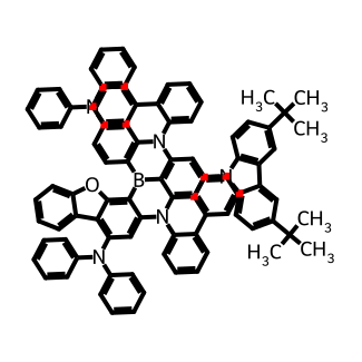 CC(C)(C)c1ccc2c(c1)c1cc(C(C)(C)C)ccc1n2-c1cc2c3c(c1)N(c1ccccc1-c1ccccc1)c1cc(N(c4ccccc4)c4ccccc4)c4c(oc5ccccc54)c1B3c1ccc(N(c3ccccc3)c3ccccc3)cc1N2c1ccccc1-c1ccccc1